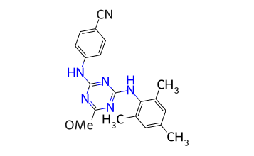 COc1nc(Nc2ccc(C#N)cc2)nc(Nc2c(C)cc(C)cc2C)n1